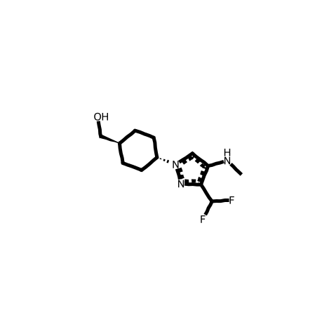 CNc1cn([C@H]2CC[C@H](CO)CC2)nc1C(F)F